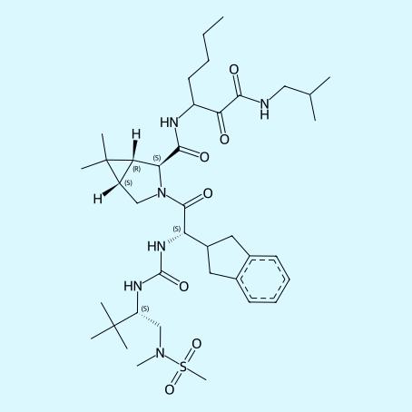 CCCCC(NC(=O)[C@@H]1[C@@H]2[C@H](CN1C(=O)[C@@H](NC(=O)N[C@H](CN(C)S(C)(=O)=O)C(C)(C)C)C1Cc3ccccc3C1)C2(C)C)C(=O)C(=O)NCC(C)C